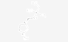 CCC(C)(C)NC[C@@H]1CC[C@@H](O)C1